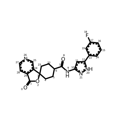 O=C1OC2(CCC(C(=O)Nc3cc(-c4cccc(F)c4)[nH]n3)CC2)c2cnccc21